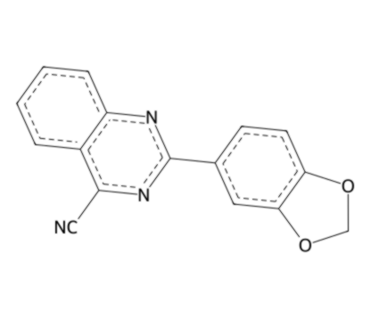 N#Cc1nc(-c2ccc3c(c2)OCO3)nc2ccccc12